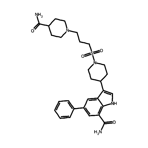 NC(=O)c1cc(-c2ccccc2)cc2c(C3CCN(S(=O)(=O)CCCN4CCC(C(N)=O)CC4)CC3)c[nH]c12